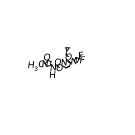 CN1CC(NC(=O)Oc2ccc(N3CC(F)(F)C3)c(OCC3CC3)n2)CC1=O